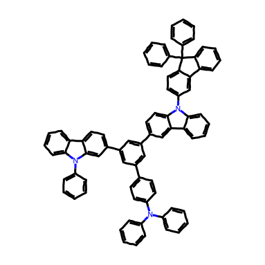 c1ccc(N(c2ccccc2)c2ccc(-c3cc(-c4ccc5c(c4)c4ccccc4n5-c4ccc5c(c4)-c4ccccc4C5(c4ccccc4)c4ccccc4)cc(-c4ccc5c6ccccc6n(-c6ccccc6)c5c4)c3)cc2)cc1